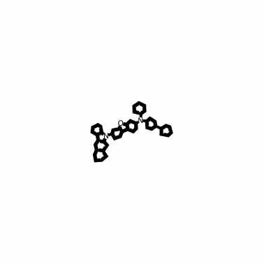 c1ccc(-c2ccc(N(c3ccccc3)c3ccc4c(c3)oc3cc(-n5c6ccccc6c6cc7ccccc7cc65)ccc34)cc2)cc1